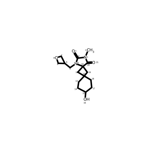 CN1C(=O)N(CC2COC2)C2(CC3(CCC(O)CC3)C2)C1=O